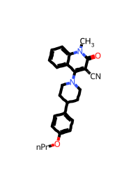 CCCOc1ccc(C2CCN(c3c(C#N)c(=O)n(C)c4ccccc34)CC2)cc1